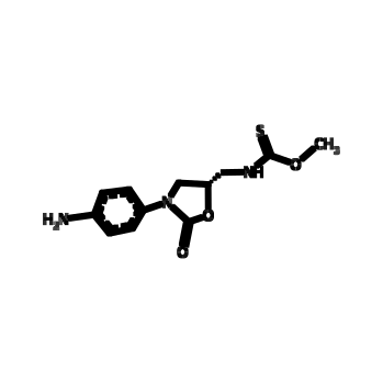 COC(=S)NC[C@H]1CN(c2ccc(N)cc2)C(=O)O1